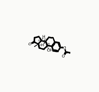 CC(=O)Oc1ccc2c(c1)CC[C@H]1[C@@H]3CCC(=O)[C@@]3(C)CC[C@]21O